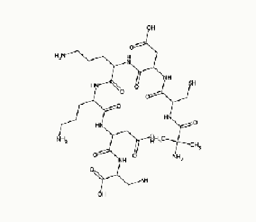 CC(C)(N)C(=O)NC(CS)C(=O)NC(CC(=O)O)C(=O)NC(CCCN)C(=O)NC(CCCN)C(=O)NC(CC(=O)O)C(=O)NC(CS)C(=O)O